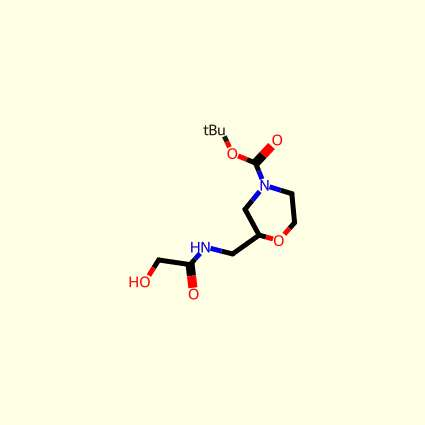 CC(C)(C)OC(=O)N1CCOC(CNC(=O)CO)C1